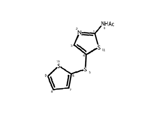 CC(=O)Nc1ncc(Sc2cccs2)s1